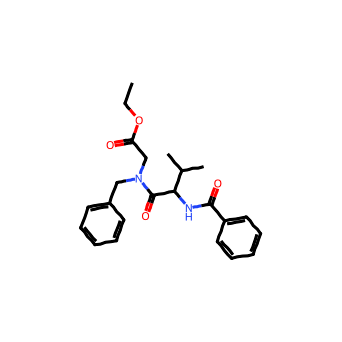 CCOC(=O)CN(Cc1ccccc1)C(=O)C(NC(=O)c1ccccc1)C(C)C